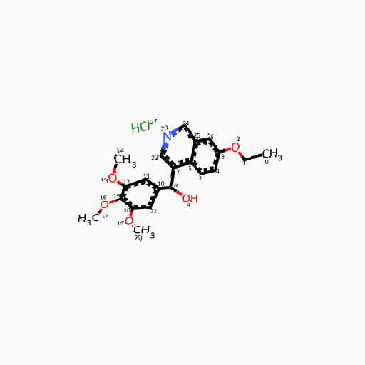 CCOc1ccc2c(C(O)c3cc(OC)c(OC)c(OC)c3)cncc2c1.Cl